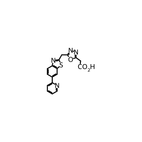 O=C(O)Cc1nnc(Cc2nc3ccc(-c4ccccn4)cc3s2)o1